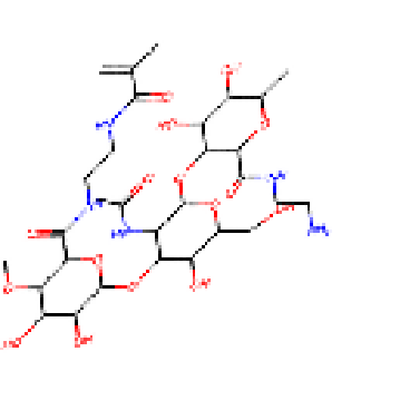 C=C(C)C(=O)NCCNC(=O)C1OC(OC2C(O)C(CO)OC(OC3C(C(=O)NCCN)OC(C)C(O)C3O)C2NC(C)=O)C(O)C(O)C1OC